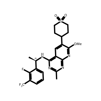 COc1nc2nc(C)nc(N[C@H](C)c3cccc(C(F)(F)F)c3F)c2cc1C1CCS(=O)(=O)CC1